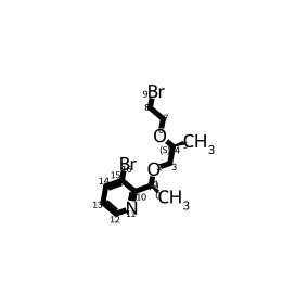 C[C@H](OC[C@H](C)OCCBr)c1ncccc1Br